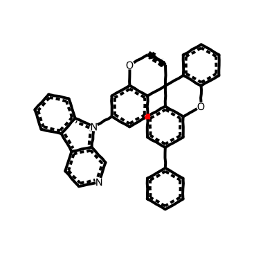 c1ccc(-c2ccc3c(c2)Oc2ccccc2C32c3ccccc3Oc3cc(-n4c5ccccc5c5ccncc54)ccc32)cc1